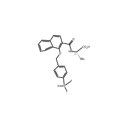 CC(C)(C)[C@H](NC(=O)c1ccc2ccccc2c1OCc1ccc(S(F)(F)F)cc1)C(=O)O